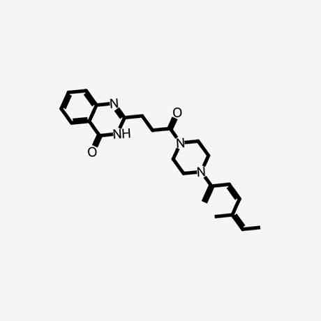 C=C(/C=C\C(C)=C/C)N1CCN(C(=O)CCc2nc3ccccc3c(=O)[nH]2)CC1